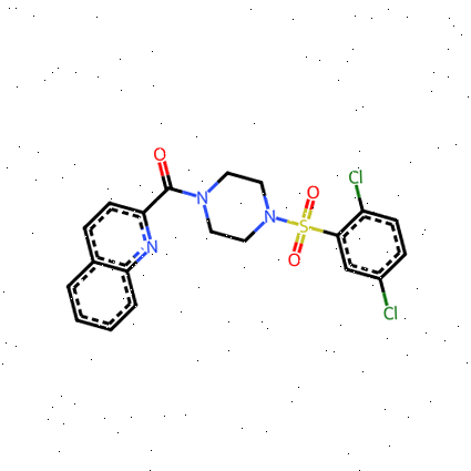 O=C(c1ccc2ccccc2n1)N1CCN(S(=O)(=O)c2cc(Cl)ccc2Cl)CC1